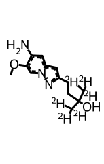 [2H]C([2H])([2H])C(O)(CCc1cc2cc(N)c(OC)cn2n1)C([2H])([2H])[2H]